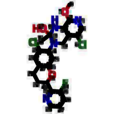 COc1ncc(Cl)c2c1NC(C)(O)N(c1cc3c(cc1Cl)CCC(c1ncccc1F)O3)C2